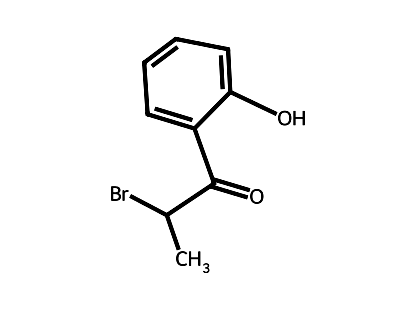 CC(Br)C(=O)c1ccccc1O